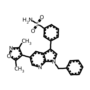 Cc1noc(C)c1-c1cnc2c(c1)c(-c1cccc(S(N)(=O)=O)c1)cn2Cc1ccccc1